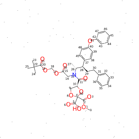 COC(=O)C1(C(=O)O)OC[C@@H](C(=O)N(CC(=O)OCOC(=O)C(C)(C)C)[C@H](C)[C@H](CCc2ccccc2)c2ccc(Oc3ccccc3)cc2)O1